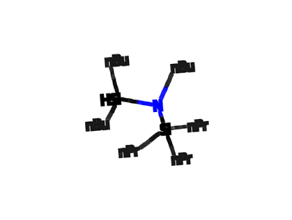 CCCCN([SiH](CCCC)CCCC)[Si](CCC)(CCC)CCC